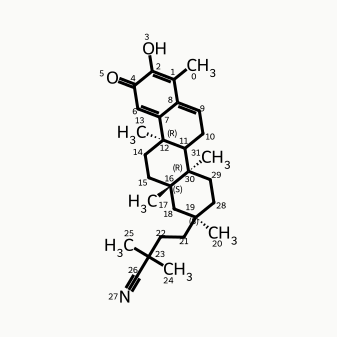 CC1=C(O)C(=O)C=C2C1=CCC1[C@@]2(C)CC[C@@]2(C)C[C@](C)(CCC(C)(C)C#N)CC[C@]12C